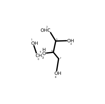 CO.O=CC(O)C(O)CO